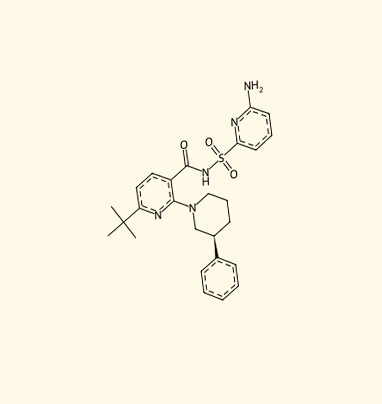 CC(C)(C)c1ccc(C(=O)NS(=O)(=O)c2cccc(N)n2)c(N2CCC[C@@H](c3ccccc3)C2)n1